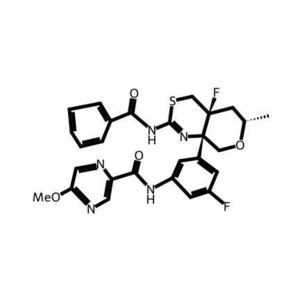 COc1cnc(C(=O)Nc2cc(F)cc([C@]34CO[C@@H](C)C[C@@]3(F)CSC(NC(=O)c3ccccc3)=N4)c2)cn1